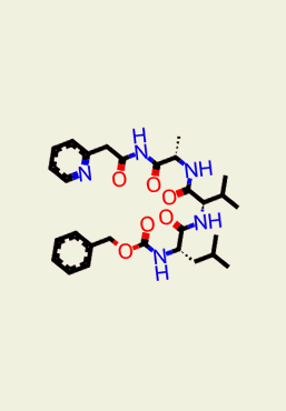 CC(C)C[C@H](NC(=O)OCc1ccccc1)C(=O)N[C@H](C(=O)N[C@@H](C)C(=O)NC(=O)Cc1ccccn1)C(C)C